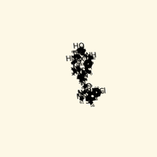 Cc1ncsc1-c1ccc(C(C)NC(=O)[C@@H]2C[C@@H](O)CN2C(=O)[C@@H](NC(=O)CN2C[C@H](C)N(C3CC4(C3)CN(C(=O)C[C@@H]3N=C(c5ccc(Cl)cc5)c5c(sc(C)c5C)-n5c(C)nnc53)C4)C[C@H]2C)C(C)(C)C)cc1